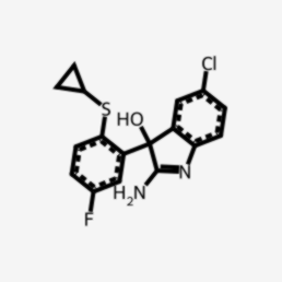 NC1=Nc2ccc(Cl)cc2C1(O)c1cc(F)ccc1SC1CC1